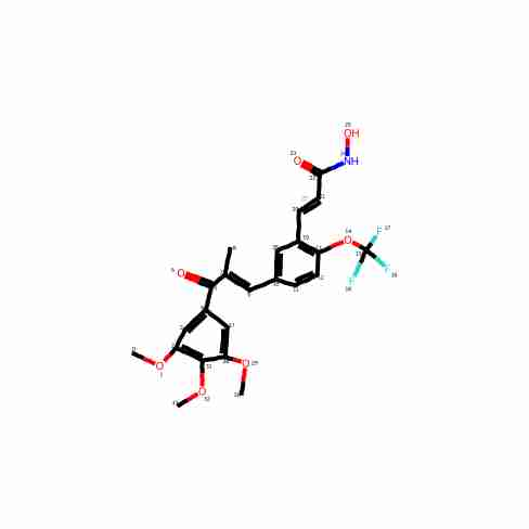 COc1cc(C(=O)C(C)=Cc2ccc(OC(F)(F)F)c(/C=C/C(=O)NO)c2)cc(OC)c1OC